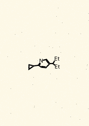 CCC(CC)c1ccc(C2CC2)nc1